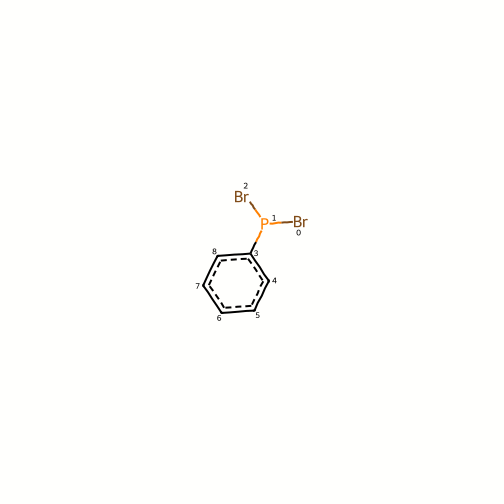 BrP(Br)c1ccccc1